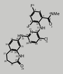 CNC(=O)c1cc(F)cc(F)c1Nc1nc(Nc2ccc3c(c2)NC(=O)CCC3)ncc1Cl